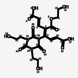 O=C(O)C=CC(C(=O)OCCO)=C(C=CC(=O)O)n1c(=O)n(CCO)c(=O)n(CCO)c1=O